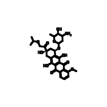 COc1cccc2c1C(=O)c1c(O)c3c(c(O)c1C2=O)C[C@@](O)(C(=O)COC(C)C)C[C@@H]3OC1CC(N)C(O)C(C)O1